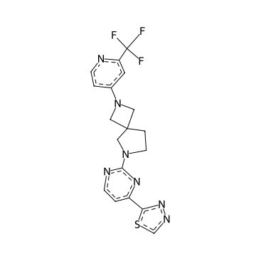 FC(F)(F)c1cc(N2CC3(CCN(c4nccc(-c5nncs5)n4)C3)C2)ccn1